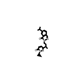 CC(C)c1ccc2cnn(CCC(C)c3ccc(=O)n(C4CC4)n3)c(=O)c2c1